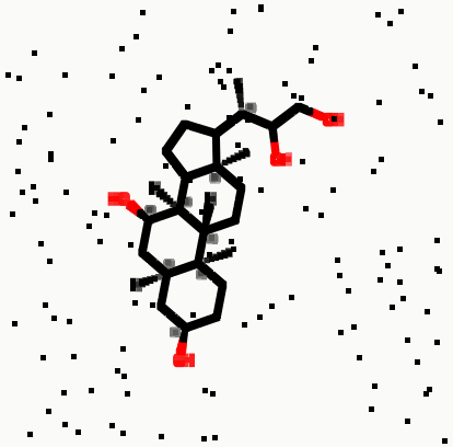 C[C@H](C(O)CO)C1CCC2[C@@H]3[C@H](O)C[C@@H]4C[C@H](O)CC[C@]4(C)[C@H]3CC[C@]12C